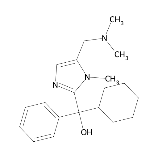 CN(C)Cc1cnc(C(O)(c2ccccc2)C2CCCCC2)n1C